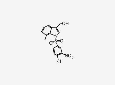 Cc1cccc2c(CO)cn(S(=O)(=O)c3ccc(Cl)c([N+](=O)[O-])c3)c12